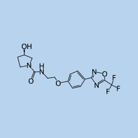 O=C(NCCOc1ccc(-c2noc(C(F)(F)F)n2)cc1)N1CC[C@@H](O)C1